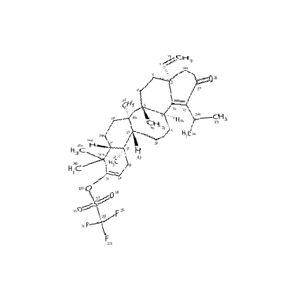 C=C[C@@]12CC[C@]3(C)[C@H](CC[C@@H]4[C@@]5(C)CC=C(OS(=O)(=O)C(F)(F)F)C(C)(C)[C@@H]5CC[C@]43C)C1=C(C(C)C)C(=O)C2